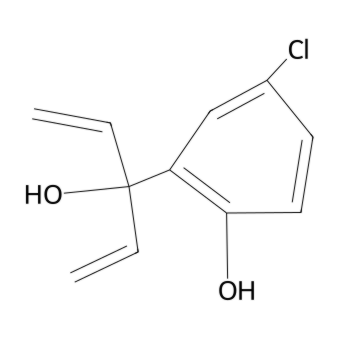 C=CC(O)(C=C)c1cc(Cl)ccc1O